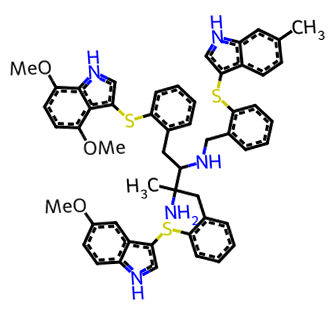 COc1ccc2[nH]cc(Sc3ccccc3CC(C)(N)C(Cc3ccccc3Sc3c[nH]c4c(OC)ccc(OC)c34)NCc3ccccc3Sc3c[nH]c4cc(C)ccc34)c2c1